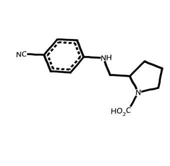 N#Cc1ccc(NCC2CCCN2C(=O)O)cc1